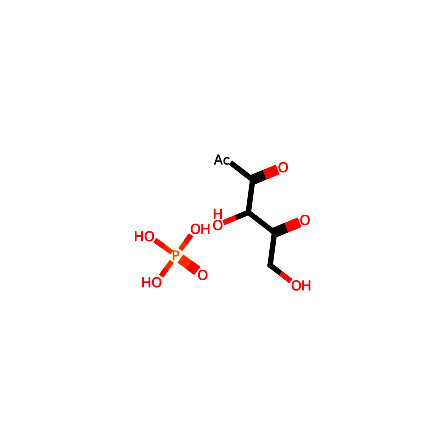 CC(=O)C(=O)C(O)C(=O)CO.O=P(O)(O)O